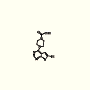 CCc1cc2c(N3CCN(C(=O)OCC(C)C)CC3)ncnc2s1